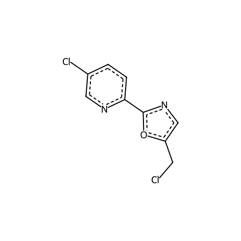 ClCc1cnc(-c2ccc(Cl)cn2)o1